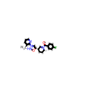 Cc1cccnc1N1C=C([C@H]2CCCN(C(=O)c3ccc(F)cc3)C2)ON1